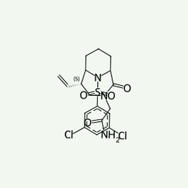 C=C[C@H]1CN(CC(N)=O)C(=O)C2CCCC1N2S(=O)(=O)c1cc(Cl)cc(Cl)c1